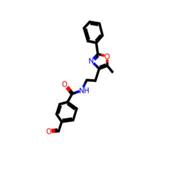 Cc1oc(-c2ccccc2)nc1CCNC(=O)c1ccc(C=O)cc1